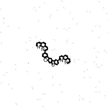 c1cnc2c(c1)ccc1ccc(-c3ccc4oc5cc6oc7ccc(-c8ccc9ccc%10cccnc%10c9n8)cc7c6cc5c4c3)nc12